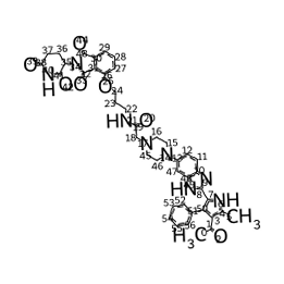 CC(=O)c1c(C)[nH]c(-c2nc3ccc(N4CCN(CC(=O)NCCCOc5cccc6c5C(=O)N(C5CCC(=O)NC5=O)C6=O)CC4)cc3[nH]2)c1-c1ccccc1